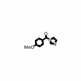 COc1ccc(C(=O)n2ccnc2)cc1